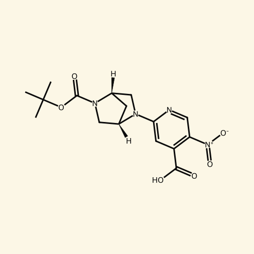 CC(C)(C)OC(=O)N1C[C@@H]2C[C@H]1CN2c1cc(C(=O)O)c([N+](=O)[O-])cn1